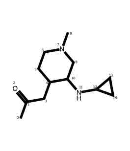 CC(=O)CC1CCN(C)CC1NC1CC1